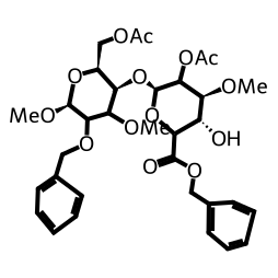 COC1C(OCc2ccccc2)[C@@H](OC)O[C@@H](COC(C)=O)[C@H]1O[C@@H]1OC(C(=O)OCc2ccccc2)[C@@H](O)[C@H](OC)C1OC(C)=O